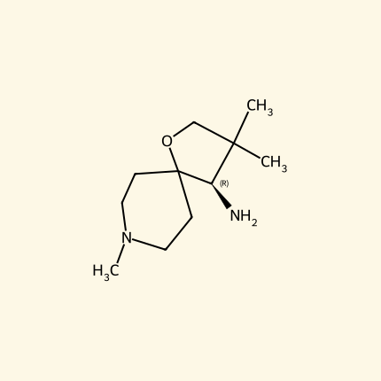 CN1CCC2(CC1)OCC(C)(C)[C@H]2N